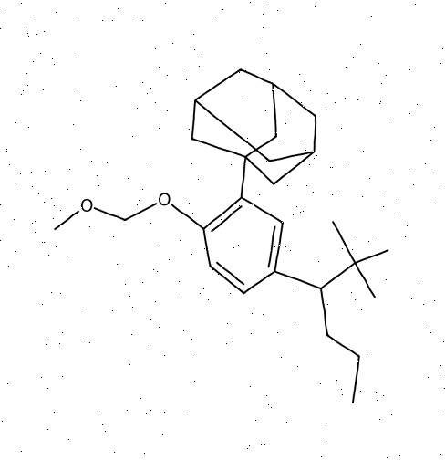 CCCC(c1ccc(OCOC)c(C23CC4CC(CC(C4)C2)C3)c1)C(C)(C)C